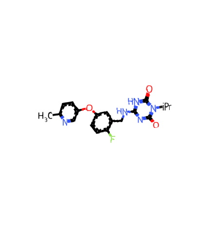 Cc1ccc(Oc2ccc(F)c(CNc3nc(=O)n(C(C)C)c(=O)[nH]3)c2)cn1